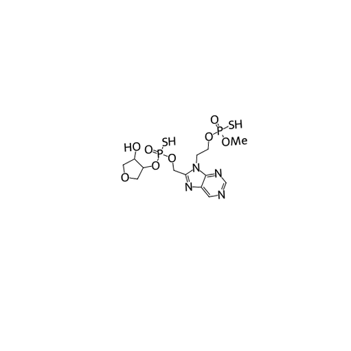 COP(=O)(S)OCCn1c(COP(=O)(S)OC2COCC2O)nc2cncnc21